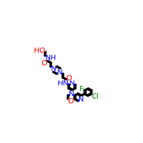 O=C(CCN1CCN(CCC(=O)Nc2cc(N3CCOc4cnc(-c5cc(Cl)ccc5F)cc43)ccn2)CC1)NCCO